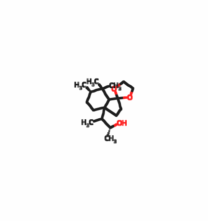 CC([C@@H](C)O)C12CC[C@@H](C)C(C)(C)C1C1(CC2)OCCO1